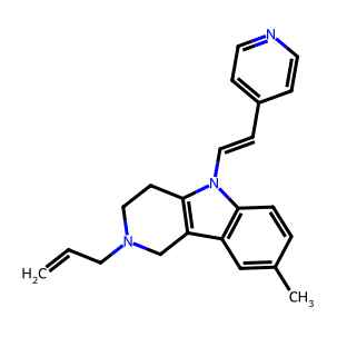 C=CCN1CCc2c(c3cc(C)ccc3n2C=Cc2ccncc2)C1